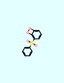 O=S(=O)(c1ccccc1)c1cccc2ooc12